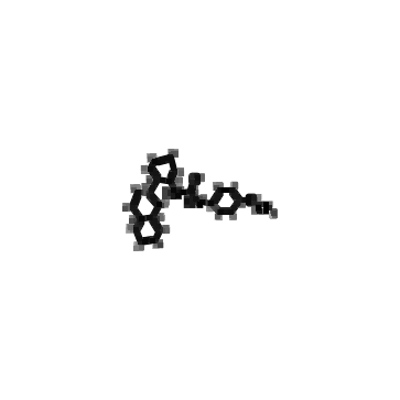 O=C(Nc1ccc(OC(F)(F)F)cc1)Nc1ccccc1-c1ccc2ccccc2c1